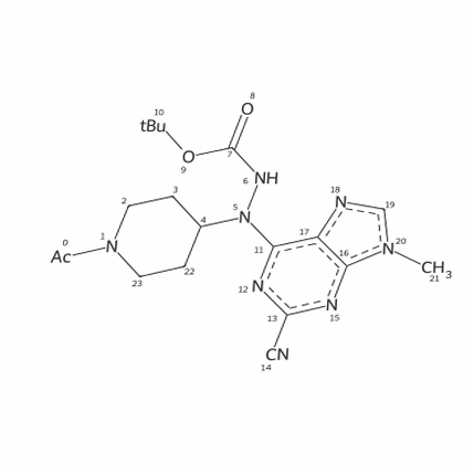 CC(=O)N1CCC(N(NC(=O)OC(C)(C)C)c2nc(C#N)nc3c2ncn3C)CC1